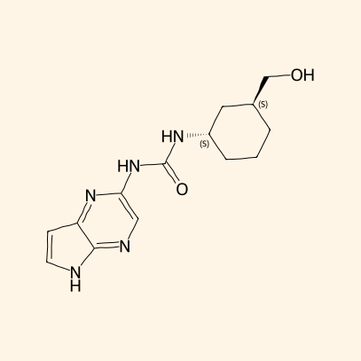 O=C(Nc1cnc2[nH]ccc2n1)N[C@H]1CCC[C@H](CO)C1